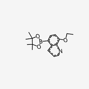 CCOc1ccc(B2OC(C)(C)C(C)(C)O2)c2cccnc12